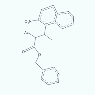 CC(=O)C(C(=O)OCc1ccccc1)C(C)c1c([N+](=O)[O-])ccc2ccccc12